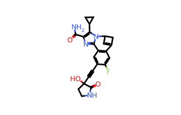 NC(=O)c1nc2n(c1C1CC1)C1C=C(C1)c1cc(F)c(C#CC3(O)CCNC3=O)cc1-2